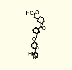 O=C(O)CC1CCCN(C(=O)c2cccc(COc3ccc(-c4ccn[nH]4)nc3)c2)C1